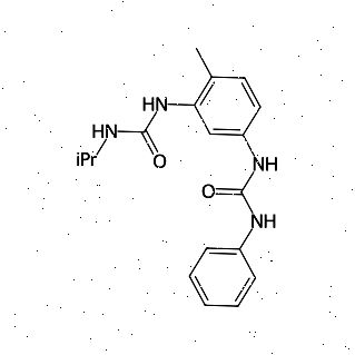 Cc1ccc(NC(=O)Nc2ccccc2)cc1NC(=O)NC(C)C